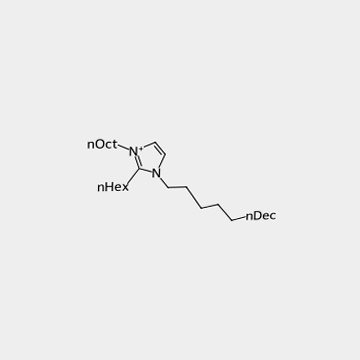 CCCCCCCCCCCCCCCn1cc[n+](CCCCCCCC)c1CCCCCC